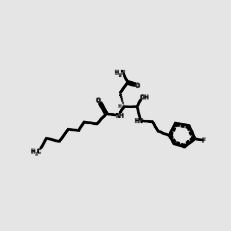 CCCCCCCC(=O)N[C@H](CC(N)=O)C(O)NCCc1ccc(F)cc1